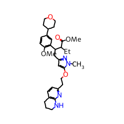 CCC(C(=O)OC)C(Cc1cc(OCCc2ccc3c(n2)NCCC3)n(C)n1)c1cc(C2CCOCC2)ccc1OC